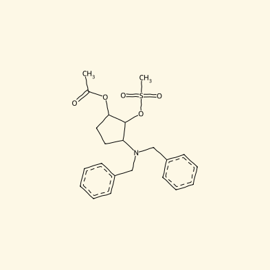 CC(=O)OC1CCC(N(Cc2ccccc2)Cc2ccccc2)C1OS(C)(=O)=O